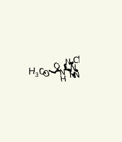 COCCC(=O)Nc1cnc(Cl)n2cnnc12